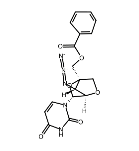 [N-]=[N+]=N[C@H]1[C@H]2OC[C@]1(COC(=O)c1ccccc1)O[C@H]2n1ccc(=O)[nH]c1=O